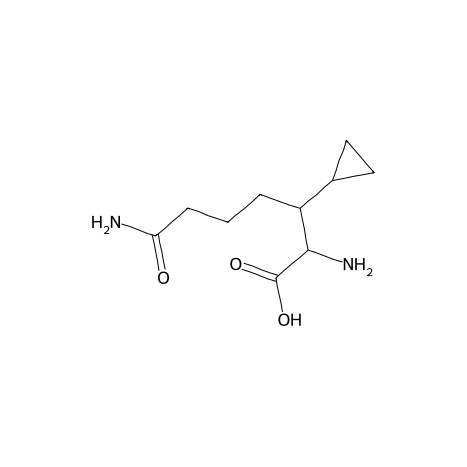 NC(=O)CCCC(C1CC1)C(N)C(=O)O